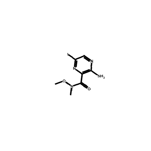 CON(C)C(=O)c1nc(I)cnc1N